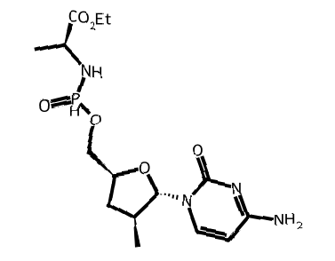 CCOC(=O)[C@H](C)N[PH](=O)OC[C@@H]1C[C@H](C)[C@@H](n2ccc(N)nc2=O)O1